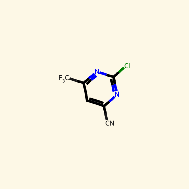 N#Cc1cc(C(F)(F)F)nc(Cl)n1